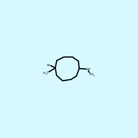 CC1(Br)CCCCC(NP)CCCC1